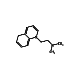 CN(C)CCN1C=CC=C2CC=CC=C21